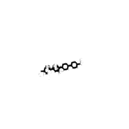 C=CC1COC(C(C)/C=C(F)\C(=C/C)C2CCC(C3CCC(CF)CC3)CC2)OC1